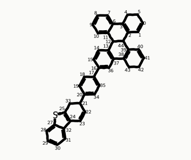 C1=CC2=C(CC1)c1ccccc1C1c3ccc(-c4ccc(C5C=Cc6c(sc7ccccc67)C5)cc4)cc3C3=C(C=CCC3)C21